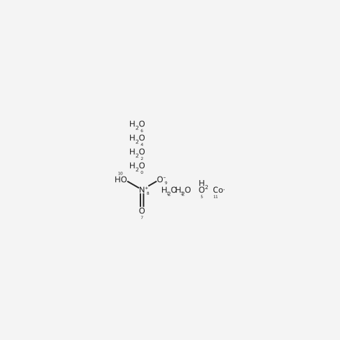 O.O.O.O.O.O.O.O=[N+]([O-])O.[Co]